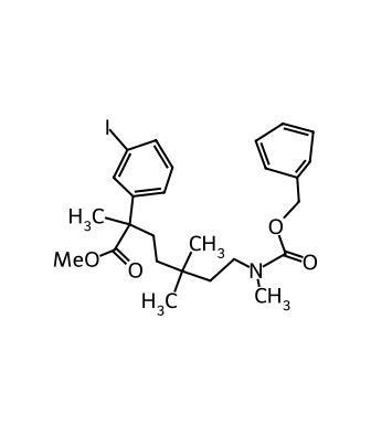 COC(=O)C(C)(CCC(C)(C)CCN(C)C(=O)OCc1ccccc1)c1cccc(I)c1